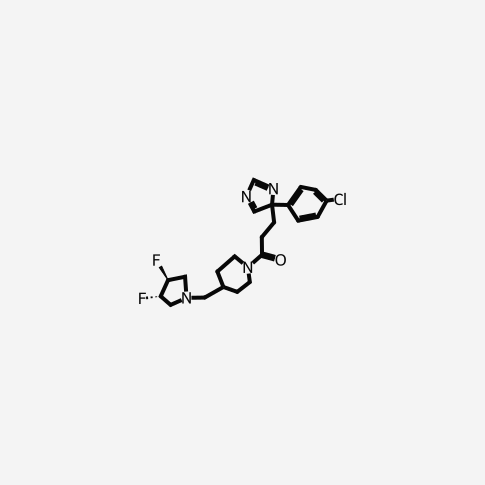 O=C(CCC1(c2ccc(Cl)cc2)C=NC=N1)N1CCC(CN2C[C@H](F)[C@@H](F)C2)CC1